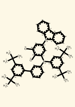 CC(C)(C)c1cc(-c2cccc(N(c3cc(C(C)(C)C)cc(C(C)(C)C)c3)c3cc(-n4c5ccccc5c5ccccc54)cc(Cl)c3Cl)c2)cc(C(C)(C)C)c1